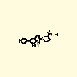 Cl.O=C(O)C1CCCN(c2ccc3cc(-c4ccncc4)ccc3n2)C1